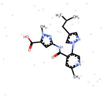 Cc1cc(C(=O)Nc2cc(C(=O)O)n(C)n2)c(-n2cc(CC(C)C)cn2)cn1